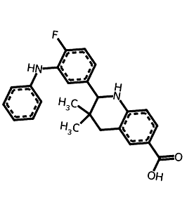 CC1(C)Cc2cc(C(=O)O)ccc2NC1c1ccc(F)c(Nc2ccccc2)c1